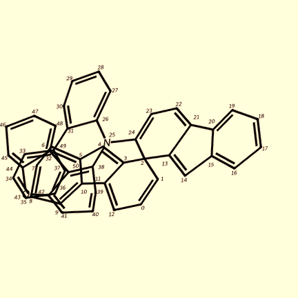 C1=CC2(C3=Cc4ccccc4C3=C1)C1=Cc3ccccc3C1=CC=C2N(c1ccccc1-c1ccccc1)c1cccc2oc3ccccc3c12